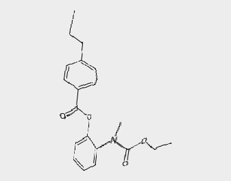 CCCc1ccc(C(=O)Oc2ccccc2N(C)C(=O)OCC)cc1